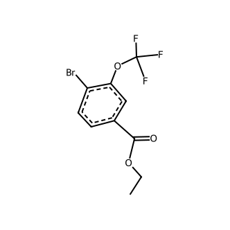 CCOC(=O)c1ccc(Br)c(OC(F)(F)F)c1